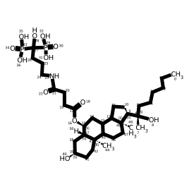 CCCCCC[C@](C)(O)[C@H]1CCC2C3C[C@H](OC(=O)CCC(=O)NCCCC(O)(P(=O)(O)O)P(=O)(O)O)[C@H]4C[C@@H](O)CC[C@]4(C)C3CC[C@@]21C